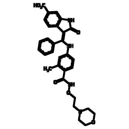 Cc1cc(N/C(=C2\C(=O)Nc3cc(C(=O)O)ccc32)c2ccccc2)ccc1C(=O)NOCCN1CCOCC1